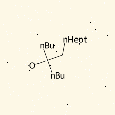 CCCCCCCCC([O])(CCCC)CCCC